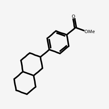 COC(=O)c1ccc(C2CCC3CCCCC3C2)cc1